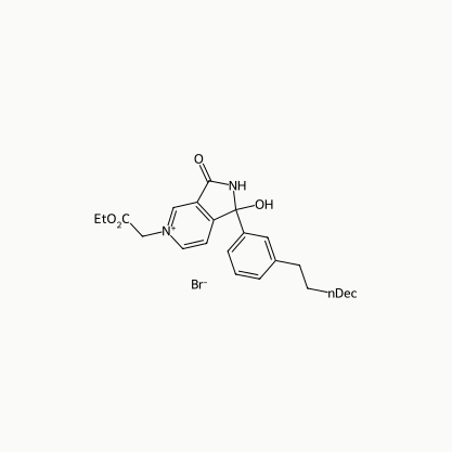 CCCCCCCCCCCCc1cccc(C2(O)NC(=O)c3c[n+](CC(=O)OCC)ccc32)c1.[Br-]